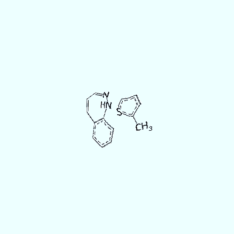 C1=Cc2ccccc2NN=C1.Cc1cccs1